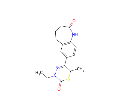 CCN1N=C(c2ccc3c(c2)CCCC(=O)N3)C(C)SC1=O